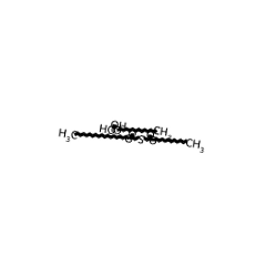 CCCCCCCCCCCCCCCCCCOC(=O)CCSCCC(=O)OCCCCCCCCCCCC.CCCCCCCCCCCCCOP(O)O